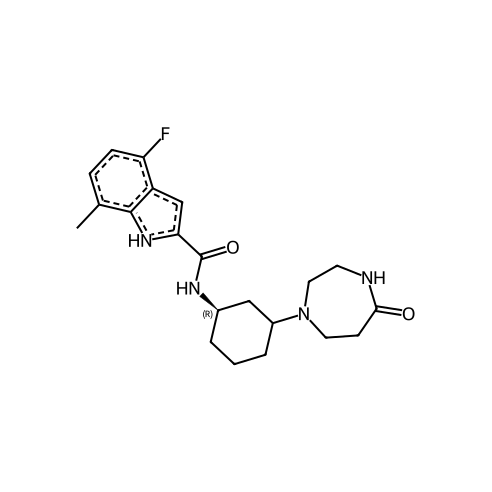 Cc1ccc(F)c2cc(C(=O)N[C@@H]3CCCC(N4CCNC(=O)CC4)C3)[nH]c12